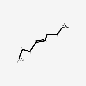 CC(=O)OCC/C=C/CCOC(C)=O